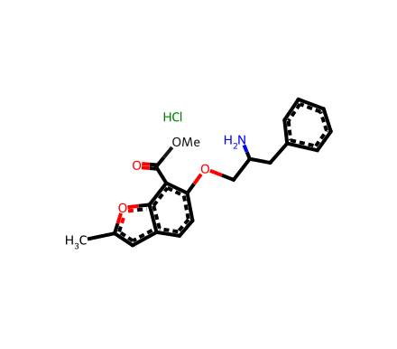 COC(=O)c1c(OCC(N)Cc2ccccc2)ccc2cc(C)oc12.Cl